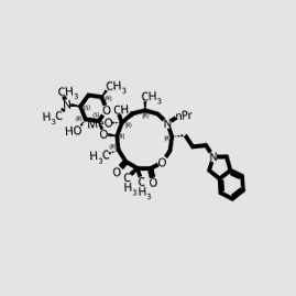 CCCN1C[C@H](C)C[C@@](C)(OC)[C@H](O[C@@H]2O[C@H](C)C[C@H](N(C)C)[C@H]2O)[C@@H](C)C(=O)C(C)(C)C(=O)OC[C@H]1CCCN1Cc2ccccc2C1